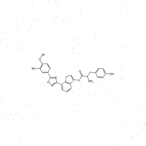 CC(C)Oc1ccc(-c2nc(-c3cccc4c3CC=C4OC(=O)C(N)Cc3ccc(O)cc3)no2)cc1C#N